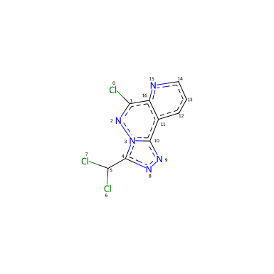 Clc1nn2c(C(Cl)Cl)nnc2c2cccnc12